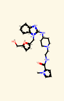 Cn1cccc1C(=O)NCCN1CCC(Nc2nc3ccccc3n2Cc2ccc(CO)o2)CC1